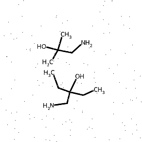 CC(C)(O)CN.CCC(O)(CC)CN